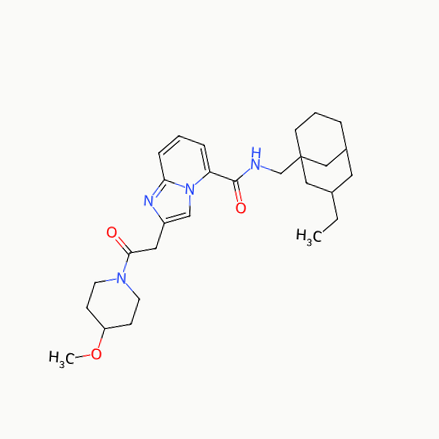 CCC1CC2CCCC(CNC(=O)c3cccc4nc(CC(=O)N5CCC(OC)CC5)cn34)(C1)C2